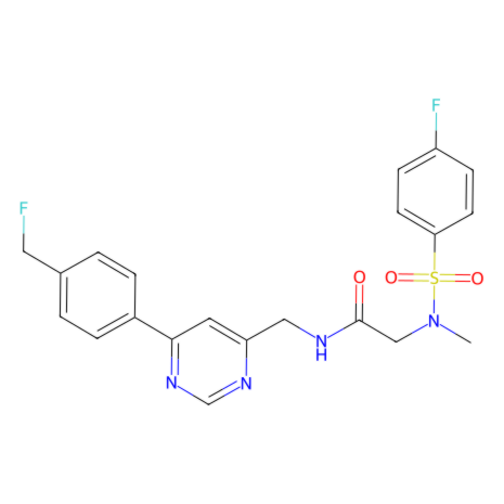 CN(CC(=O)NCc1cc(-c2ccc(CF)cc2)ncn1)S(=O)(=O)c1ccc(F)cc1